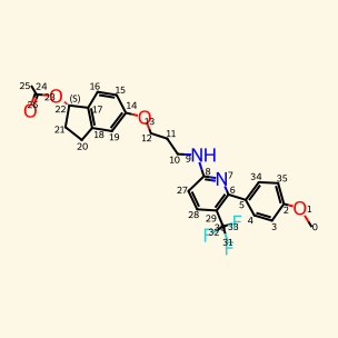 COc1ccc(-c2nc(NCCCOc3ccc4c(c3)CC[C@@H]4OC(C)=O)ccc2C(F)(F)F)cc1